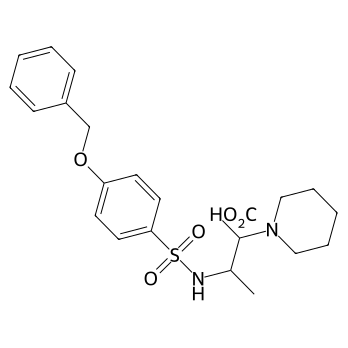 CC(NS(=O)(=O)c1ccc(OCc2ccccc2)cc1)C(C(=O)O)N1CCCCC1